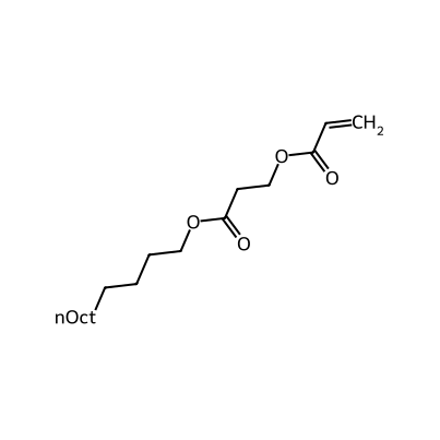 C=CC(=O)OCCC(=O)OCCCCCCCCCCCC